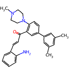 Cc1cc(C)cc(-c2ccc(N3CCN(C)CC3)c(C(=O)C=Cc3ccccc3N)c2)c1